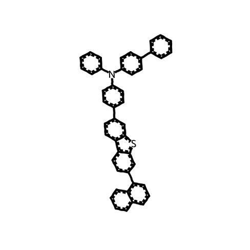 c1ccc(-c2ccc(N(c3ccccc3)c3ccc(-c4ccc5c(c4)sc4cc(-c6cccc7ccccc67)ccc45)cc3)cc2)cc1